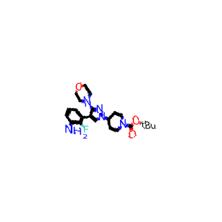 CC(C)(C)OC(=O)N1CCC(n2cc(-c3cccc(N)c3F)c(N3CCOCC3)n2)CC1